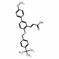 COc1ccc(-c2ccc(OCc3ccc(C(C)(C)C)cc3)c(C=CC(=O)O)c2)cc1